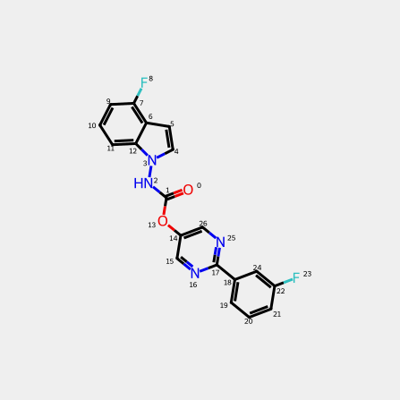 O=C(Nn1ccc2c(F)cccc21)Oc1cnc(-c2cccc(F)c2)nc1